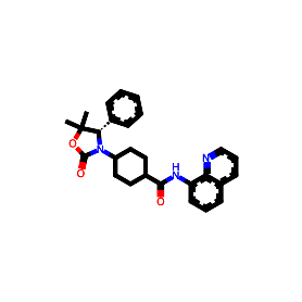 CC1(C)OC(=O)N(C2CCC(C(=O)Nc3cccc4cccnc34)CC2)[C@H]1c1ccccc1